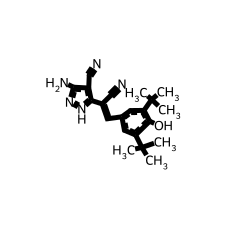 CC(C)(C)c1cc(C=C(C#N)c2[nH]nc(N)c2C#N)cc(C(C)(C)C)c1O